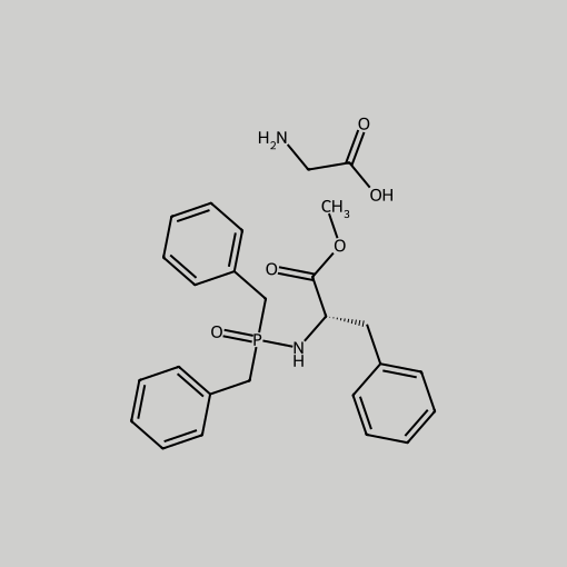 COC(=O)[C@H](Cc1ccccc1)NP(=O)(Cc1ccccc1)Cc1ccccc1.NCC(=O)O